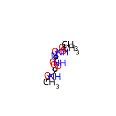 CCCC(=O)NCCc1ccc(S(=O)(=O)NC(=O)c2ccc(C(=O)NCC(=O)OC(C)C)nc2)cc1